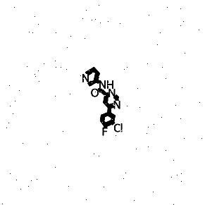 O=C(Nc1cccnc1)c1cc(-c2ccc(F)c(Cl)c2)ncn1